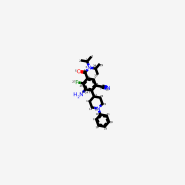 CC(C)N(C(=O)c1cc(C#N)c(C2CCN(c3ccccc3)CC2)c(N)c1F)C(C)C